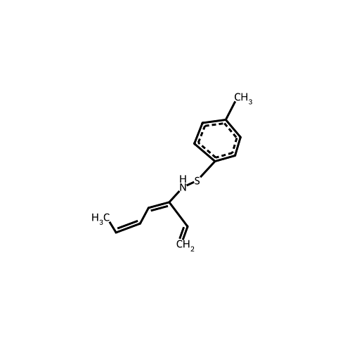 C=C/C(=C\C=C/C)NSc1ccc(C)cc1